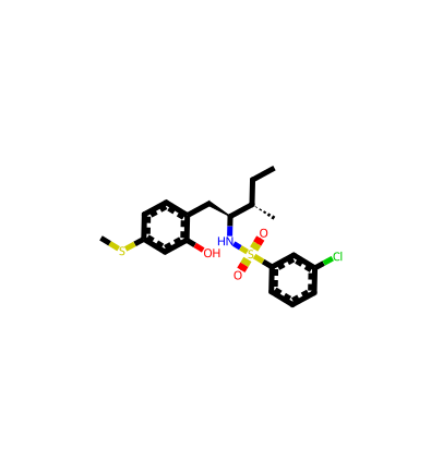 CC[C@H](C)[C@H](Cc1ccc(SC)cc1O)NS(=O)(=O)c1cccc(Cl)c1